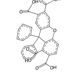 O=C(O)c1cc2c(cc1C(=O)O)C(c1ccccc1)(c1ccccc1)c1c(ccc(C(=O)O)c1C(=O)O)O2